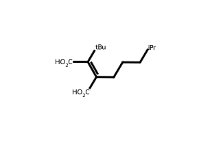 CC(C)CCCC(C(=O)O)=C(C(=O)O)C(C)(C)C